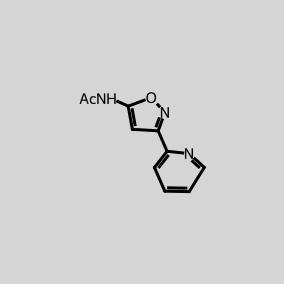 CC(=O)Nc1cc(-c2ccccn2)no1